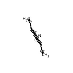 C=CC(=O)OCCCCCCOc1ccc(C(=O)Oc2ccc(OC(=O)c3ccc(OCCCCCCOC(=O)C=C)cc3)c(C#N)c2)cc1